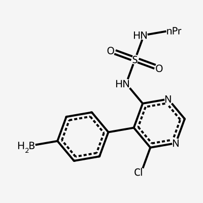 Bc1ccc(-c2c(Cl)ncnc2NS(=O)(=O)NCCC)cc1